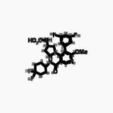 COc1ncc(C(=O)NC2CCC(F)(F)CC2)c(N2CCC(NC(=O)O)C2)c1-c1cc(F)cc(F)c1